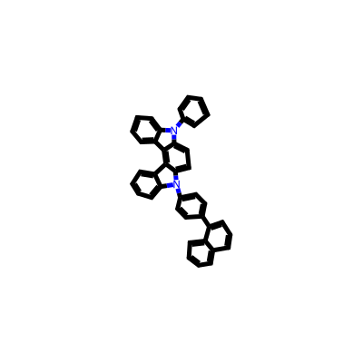 c1ccc(-n2c3ccccc3c3c4c5ccccc5n(-c5ccc(-c6cccc7ccccc67)cc5)c4ccc32)cc1